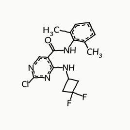 Cc1cccc(C)c1NC(=O)c1cnc(Cl)nc1NC1CC(F)(F)C1